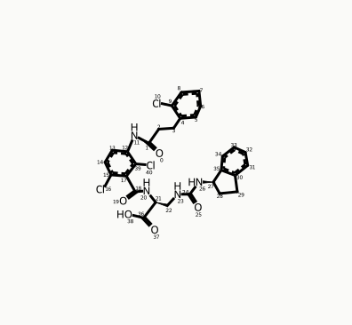 O=C(CCc1ccccc1Cl)Nc1ccc(Cl)c(C(=O)N[C@@H](CNC(=O)N[C@@H]2CCc3ccccc32)C(=O)O)c1Cl